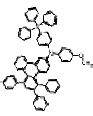 COc1ccc(N(c2ccc([Si](c3ccccc3)(c3ccccc3)c3ccccc3)cc2)c2ccc3c(c2)c2ccccc2c2c(-c4ccccc4)cc(-c4ccccc4)c(-c4ccccc4)c32)cc1